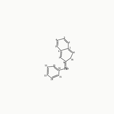 C1=c2ccccc2=CC(=Nc2ccccc2)C1